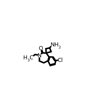 CCN1CCc2ccc(Cl)cc2C2(CC(N)C2)C1=O